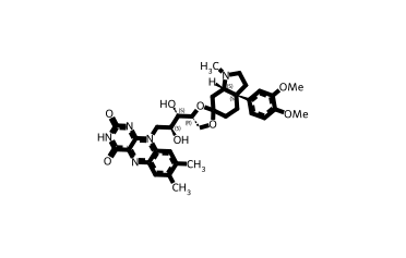 COc1ccc([C@]23CCN(C)[C@H]2CC2(CC3)OC[C@H]([C@@H](O)[C@@H](O)Cn3c4nc(=O)[nH]c(=O)c-4nc4cc(C)c(C)cc43)O2)cc1OC